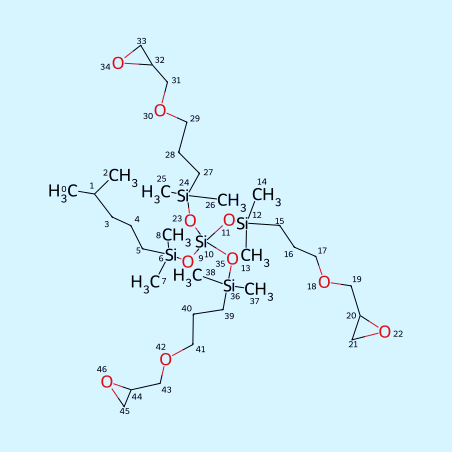 CC(C)CCC[Si](C)(C)O[Si](O[Si](C)(C)CCCOCC1CO1)(O[Si](C)(C)CCCOCC1CO1)O[Si](C)(C)CCCOCC1CO1